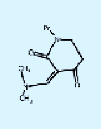 CC(C)N1CCC(=O)C(=CN(C)C)C1=O